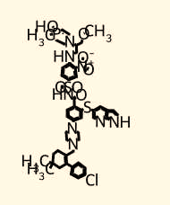 COCC(CNc1ccc(S(=O)(=O)NC(=O)c2ccc(N3CCN(CC4=C(c5ccc(Cl)cc5)CC(C)(C)CC4)CC3)cc2Sc2cnc3[nH]ccc3c2)cc1[N+](=O)[O-])N1CC[P](C)(O)CC1